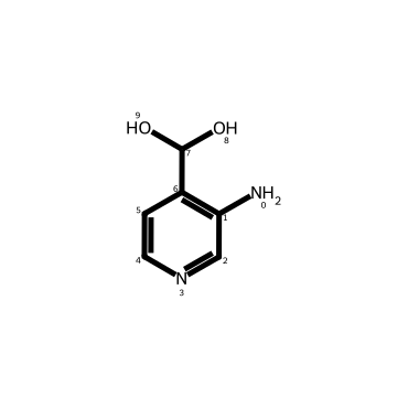 Nc1cnccc1C(O)O